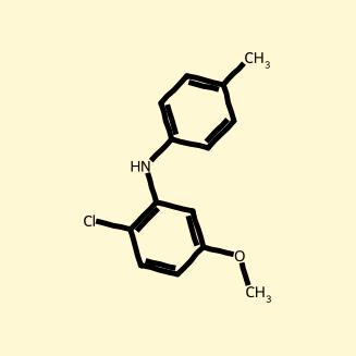 COc1ccc(Cl)c(Nc2ccc(C)cc2)c1